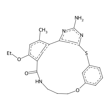 CCOc1cc(C)c2cc1C(=O)NCCCOc1cccc(c1)Sc1cc-2nc(N)n1